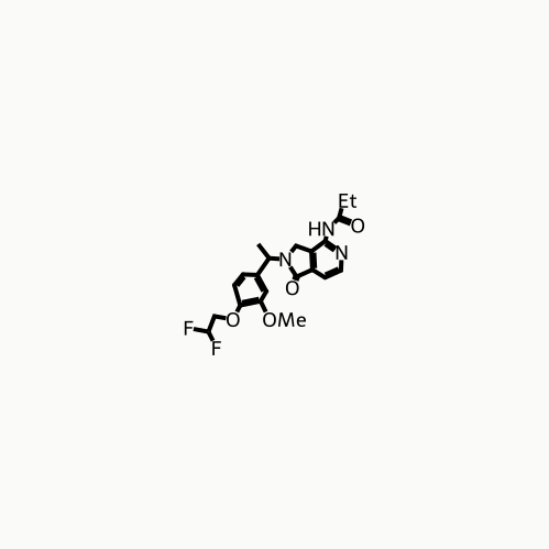 CCC(=O)Nc1nccc2c1CN(C(C)c1ccc(OCC(F)F)c(OC)c1)C2=O